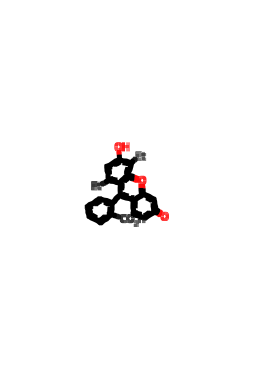 CCc1c(O)cc(CC)c2c(-c3ccccc3C(=O)O)c3ccc(=O)cc-3oc12